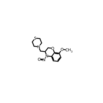 COc1cccc2c1OCC(CN1CCSCC1)N2N=O